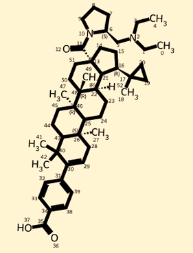 CCN(CC)C[C@@H]1CCCN1C(=O)[C@]12CC[C@@H](C3(C)CC3)C1[C@H]1CCC3[C@@]4(C)CC=C(c5ccc(C(=O)O)cc5)C(C)(C)C4CC[C@@]3(C)[C@]1(C)CC2